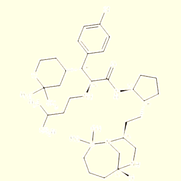 CC(CCN[C@H](C(=O)N[C@H]1CCC[C@@H]1CC[C@H]1CN[C@@H]2CCCS(O)(O)N1C2)[C@@H](c1ccc(Cl)cc1)C1CCOC(C)(C)C1)C(=O)O